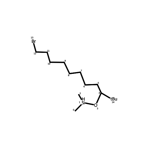 C[SiH](C)OC(CCCCCCCCBr)C(C)(C)C